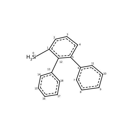 [SiH3]c1cccc(-c2ccccc2)c1-c1ccccc1